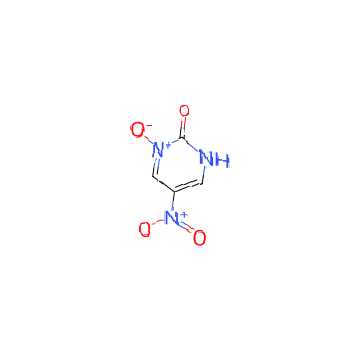 O=c1[nH]cc([N+](=O)[O-])c[n+]1[O-]